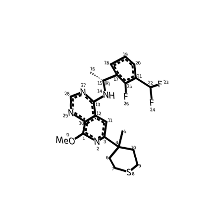 COc1nc(C2(C)CCSCC2)cc2c(N[C@H](C)c3cccc(C(F)F)c3F)ncnc12